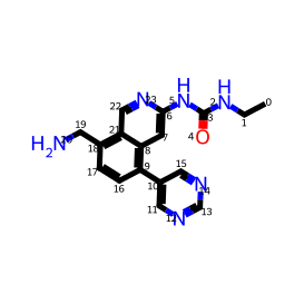 CCNC(=O)Nc1cc2c(-c3cncnc3)ccc(CN)c2cn1